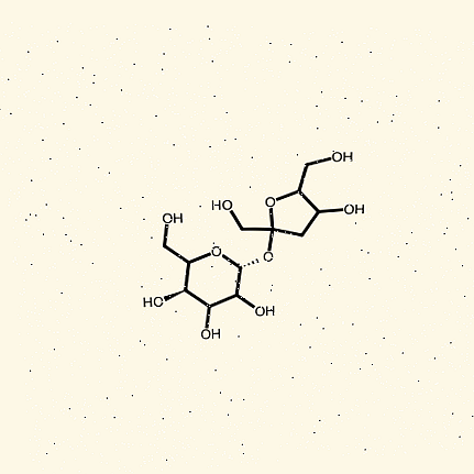 OCC1OC(CO)(O[C@H]2OC(CO)[C@H](O)C(O)C2O)CC1O